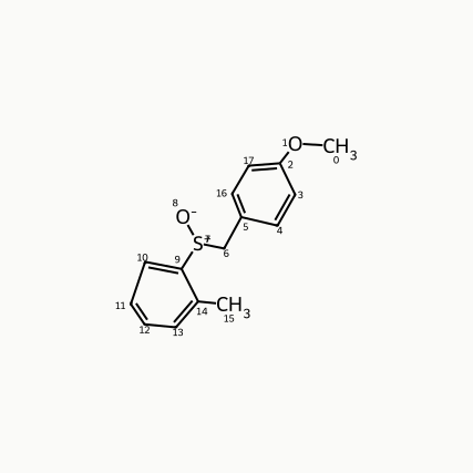 COc1ccc(C[S+]([O-])c2ccccc2C)cc1